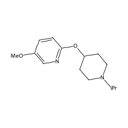 COc1ccc(OC2CCN(C(C)C)CC2)nc1